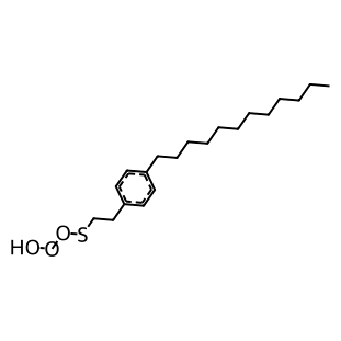 CCCCCCCCCCCCc1ccc(CCSOOO)cc1